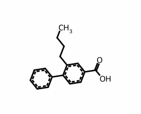 CCCCc1cc(C(=O)O)ccc1-c1ccccc1